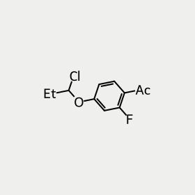 CCC(Cl)Oc1ccc(C(C)=O)c(F)c1